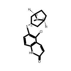 CN1[C@@H]2CC[C@H]1C[C@H](Sc1ccc3[nH]c(=O)ccc3c1Cl)C2